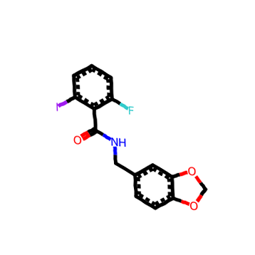 O=C(NCc1ccc2c(c1)OCO2)c1c(F)cccc1I